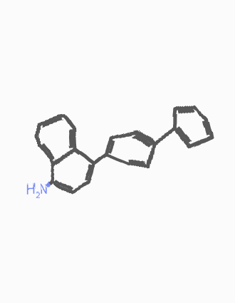 Nc1ccc(-c2ccc(-c3ccccc3)cc2)c2ccccc12